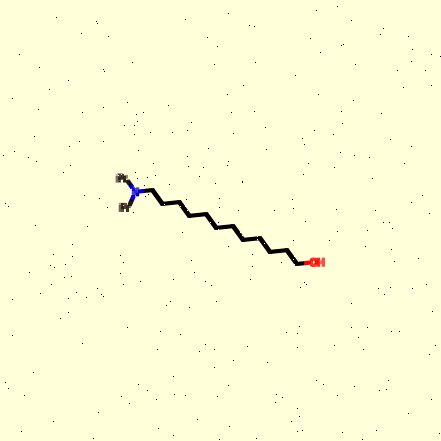 CC(C)N(CCCCCCCCCCCCO)C(C)C